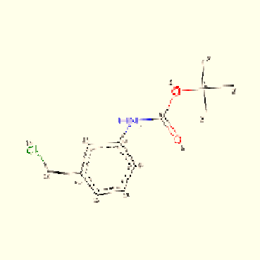 CC(C)(C)OC(=O)Nc1cccc(CCl)c1